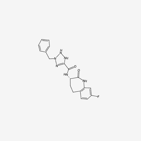 O=C(N[C@H]1CCc2ccc(F)cc2NC1=O)C1=NN(Cc2ccccc2)NN1